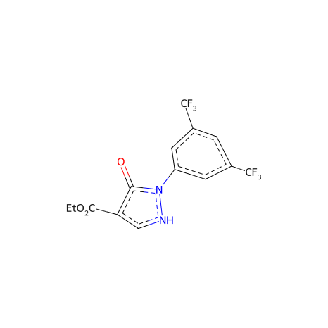 CCOC(=O)c1c[nH]n(-c2cc(C(F)(F)F)cc(C(F)(F)F)c2)c1=O